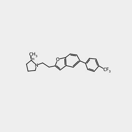 C[C@@H]1CCCN1CCc1cc2cc(-c3ccc(C(F)(F)F)cc3)ccc2o1